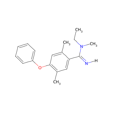 [H]/N=C(/c1cc(C)c(Oc2ccccc2)cc1C)N(C)CC